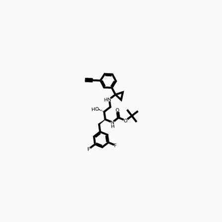 C#Cc1cccc(C2(NC[C@@H](O)[C@H](Cc3cc(F)cc(F)c3)NC(=O)OC(C)(C)C)CC2)c1